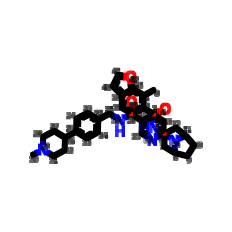 Cc1c(C(=O)NC2CC3CCC(C2)N3c2ccc(C(=O)NCc3ccc(C4CCN(C)CC4)cc3)cn2)ccc2ccoc12